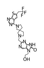 O=c1[nH]c2nc(CN3CCC4(CCN(c5ncnc6sc(CC(F)(F)F)cc56)C4)C3)ncc2n1CCO